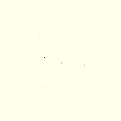 CS(=O)(=O)OCC[C@@]1(c2ccc(Cl)c(Cl)c2)CCN(C(=O)Cc2c(F)cccc2Cl)C1